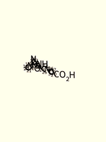 O=C(O)c1ccc(N2CCC(C(=O)Nc3cncc(N4CCCCC4)n3)CC2)cc1